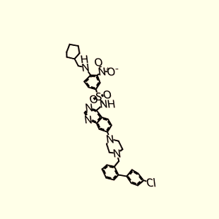 O=[N+]([O-])c1cc(S(=O)(=O)Nc2ncnc3cc(N4CCN(Cc5ccccc5-c5ccc(Cl)cc5)CC4)ccc23)ccc1NCC1CCCCC1